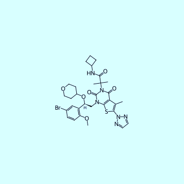 COc1ccc(Br)cc1[C@H](Cn1c(=O)n(C(C)(C)C(=O)NC2CCC2)c(=O)c2c(C)c(-n3nccn3)sc21)OC1CCOCC1